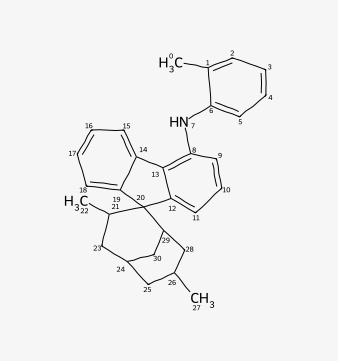 Cc1ccccc1Nc1cccc2c1-c1ccccc1C21C(C)CC2CC(C)CC1C2